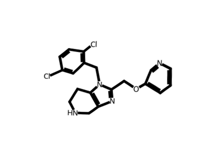 Clc1ccc(Cl)c(Cn2c(COc3cccnc3)nc3c2CCNC3)c1